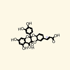 O=C(O)/C=C/C1=CC2OC3(O)C(=O)c4c(O)cc(O)cc4OC3(c3ccc(O)c(O)c3)OC2C=C1